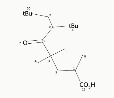 CC(CC(C)(C)C(=O)C(CC(C)(C)C)C(C)(C)C)C(=O)O